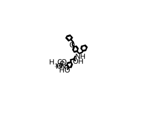 CS(=O)(=O)Nc1cc(CC(O)CNC(Cc2ccccc2)c2ccc(OCc3ccccc3)cc2)ccc1O